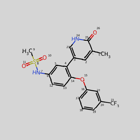 Cc1cc(-c2cc(NS(C)(=O)=O)ccc2Oc2cccc(C(F)(F)F)c2)c[nH]c1=O